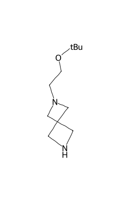 CC(C)(C)OCCN1CC2(CNC2)C1